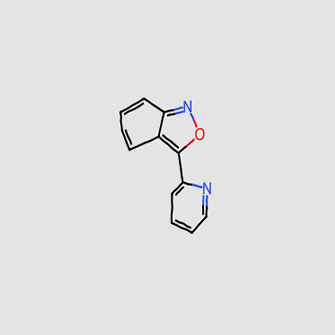 c1ccc(-c2onc3ccccc23)nc1